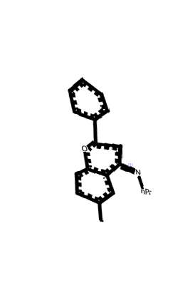 CCC/N=c1/cc(-c2ccccc2)oc2ccc(C)cc12